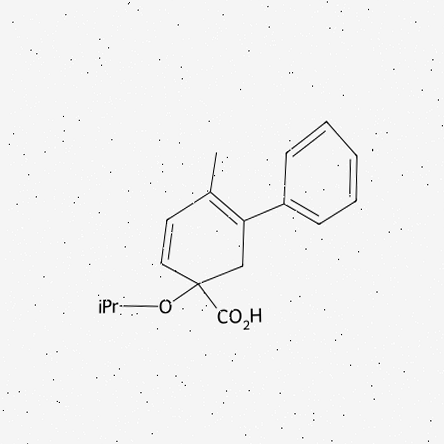 CC1=C(c2ccccc2)CC(OC(C)C)(C(=O)O)C=C1